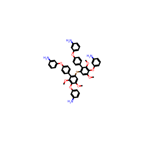 COc1cc(Sc2cc(OC)c(Oc3cccc(N)c3)c(OC)c2-c2ccc(Oc3cccc(N)c3)cc2)c(-c2ccc(Oc3cccc(N)c3)cc2)c(OC)c1Oc1cccc(N)c1